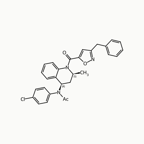 CC(=O)N(c1ccc(Cl)cc1)[C@@H]1C[C@H](C)N(C(=O)c2cc(Cc3ccccc3)no2)c2ccccc21